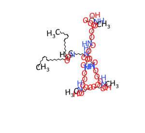 CCCCC/C=C\C/C=C\CCCCCCCCC1(CCCCCCCC/C=C\C/C=C\CCCCC)OC[C@H](CN(C)CCCCCC(=O)NC(COCCC(=O)NCCOCCOCCO[C@@H]2OC(C=O)CC(O)CC2NC(C)=O)(COCCC(=O)NCCOCCOCCO[C@@H]2OC(C=O)CC(O)C2NC(C)=O)COCCC(=O)NCCOCCOCCO[C@@H]2OC(C=O)CC(O)C2NC(C)=O)O1